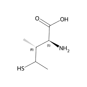 CC(S)[C@H](C)[C@H](N)C(=O)O